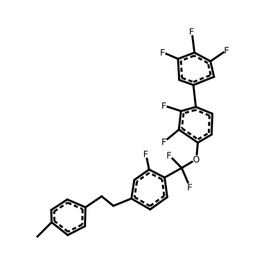 Cc1ccc(CCc2ccc(C(F)(F)Oc3ccc(-c4cc(F)c(F)c(F)c4)c(F)c3F)c(F)c2)cc1